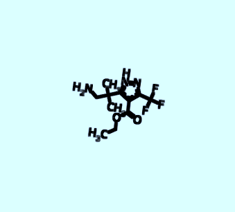 CCOC(=O)c1c(C(F)(F)F)n[nH]c1C(C)(C)CN